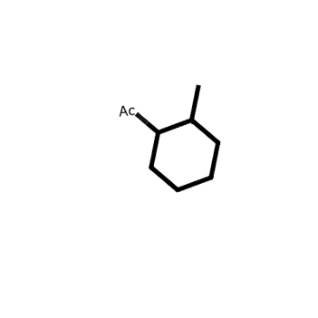 C[C]1CCCCC1C(C)=O